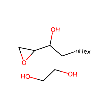 CCCCCCCC(O)C1CO1.OCCO